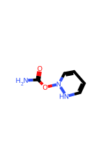 NC(=O)ON1C=CC=CN1